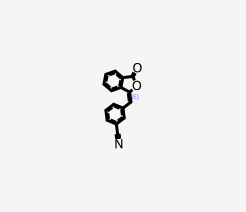 N#Cc1cccc(/C=C2/OC(=O)c3ccccc32)c1